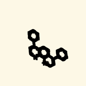 C1=[N+]c2c(ccc3c(-c4ccccc4)ccnc23)C(c2ccccc2)=C1